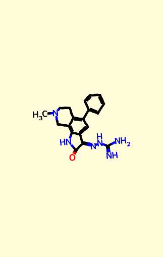 CN1CCc2c(-c3ccccc3)cc3c(c2C1)NC(=O)/C3=N/NC(=N)N